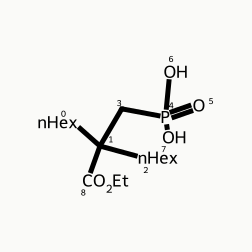 CCCCCCC(CCCCCC)(CP(=O)(O)O)C(=O)OCC